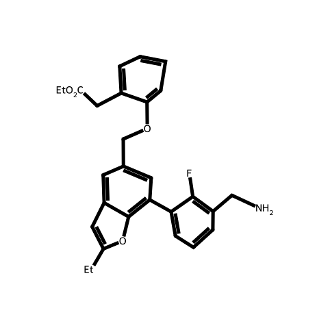 CCOC(=O)Cc1ccccc1OCc1cc(-c2cccc(CN)c2F)c2oc(CC)cc2c1